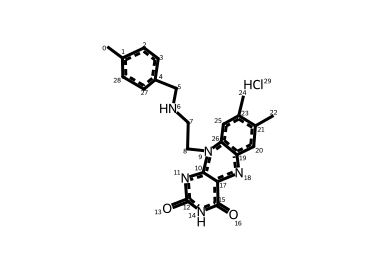 Cc1ccc(CNCCn2c3nc(=O)[nH]c(=O)c-3nc3cc(C)c(C)cc32)cc1.Cl